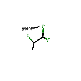 CC(F)C(F)F.CNC